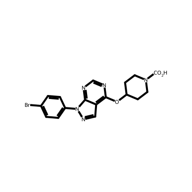 O=C(O)N1CCC(Oc2ncnc3c2cnn3-c2ccc(Br)cc2)CC1